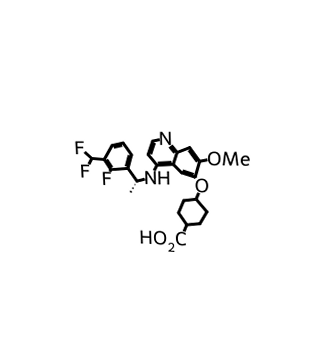 COc1cc2nccc(N[C@H](C)c3cccc(C(F)F)c3F)c2cc1OC1CCC(C(=O)O)CC1